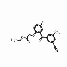 CCOC(=O)COc1ccc(Cl)cc1C(=O)c1cc(C)cc(C#N)c1